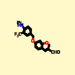 CC(C)Nc1ccc(COc2ccc3c(c2)OCC(C=O)=C3)cc1C(F)(F)F